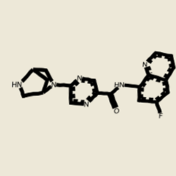 O=C(Nc1cc(F)cc2cccnc12)c1cnc(N2CC3CC2CN3)cn1